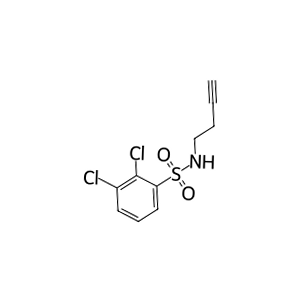 C#CCCNS(=O)(=O)c1cccc(Cl)c1Cl